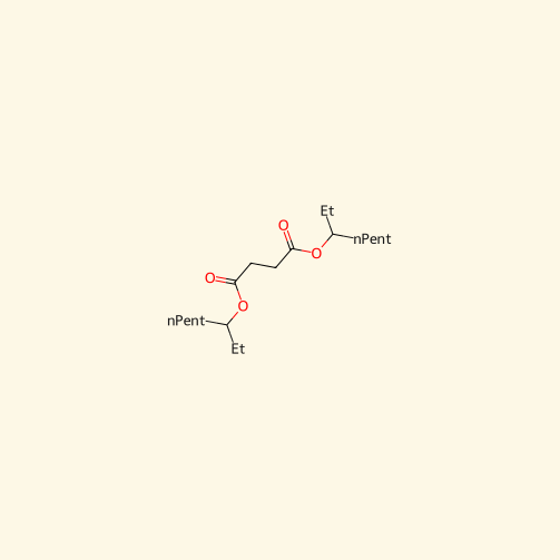 CCCCCC(CC)OC(=O)CCC(=O)OC(CC)CCCCC